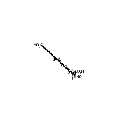 O=[C][C@H](CCC(=O)O)NC(=O)CCC(=O)NCCCOCCOCCOCCCNC(=O)CCCCCCCCCCCCCCC(=O)O